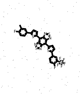 Cc1cc(-c2ccc(-c3c4c(c(-c5ccc(-c6ccc(F)c(S(F)(F)(F)(F)F)c6)s5)c5nsnc35)N=S=N4)s2)ccc1F